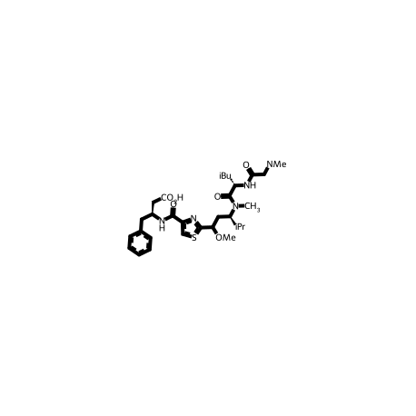 CCC(C)[C@H](NC(=O)CNC)C(=O)N(C)[C@H](CC(OC)c1nc(C(=O)N[C@H](CC(=O)O)Cc2ccccc2)cs1)C(C)C